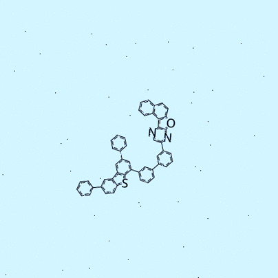 c1ccc(-c2ccc3sc4c(-c5cccc(-c6cccc(-c7cnc8c(n7)oc7ccc9ccccc9c78)c6)c5)cc(-c5ccccc5)cc4c3c2)cc1